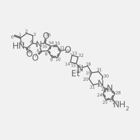 C=C1CCC(N2C(=O)c3ccc(O[C@H]4C[C@H](N(CC)CC5CCN(c6ccc(N)cn6)CC5)C4)cc3C2=O)C(=O)N1